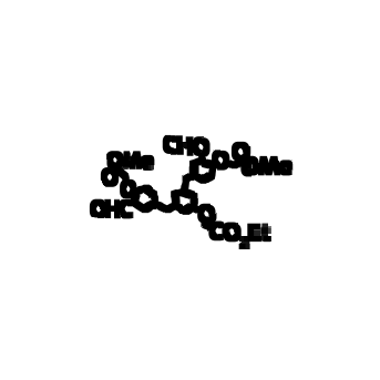 CCOC(=O)COc1cc(Cc2ccc(OCC(=O)OC)c(C=O)c2)cc(Cc2ccc(OCC(=O)OC)c(C=O)c2)c1